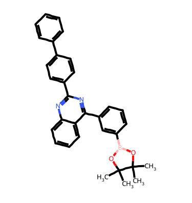 CC1(C)OB(c2cccc(-c3nc(-c4ccc(-c5ccccc5)cc4)nc4ccccc34)c2)OC1(C)C